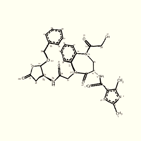 Cc1nc(C)c(C(=O)N[C@H]2CN(C(=O)CO)c3ccccc3N(CC(=O)N[C@H]3CC(=O)OC3OCc3ccccc3)C2=O)s1